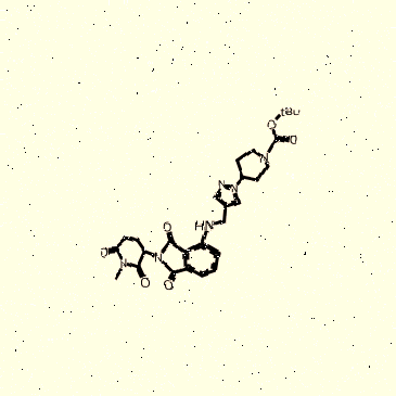 CN1C(=O)CCC(N2C(=O)c3cccc(NCc4cnn(C5CCN(C(=O)OC(C)(C)C)CC5)c4)c3C2=O)C1=O